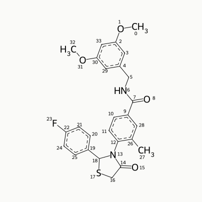 COc1cc(CNC(=O)c2ccc(N3C(=O)CSC3c3ccc(F)cc3)c(C)c2)cc(OC)c1